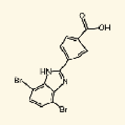 O=C(O)c1ccc(-c2nc3c(Br)ccc(Br)c3[nH]2)cc1